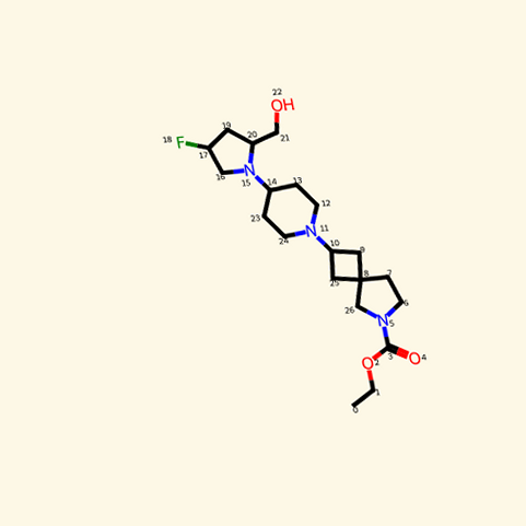 CCOC(=O)N1CCC2(CC(N3CCC(N4CC(F)CC4CO)CC3)C2)C1